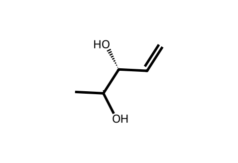 C=C[C@@H](O)[C](C)O